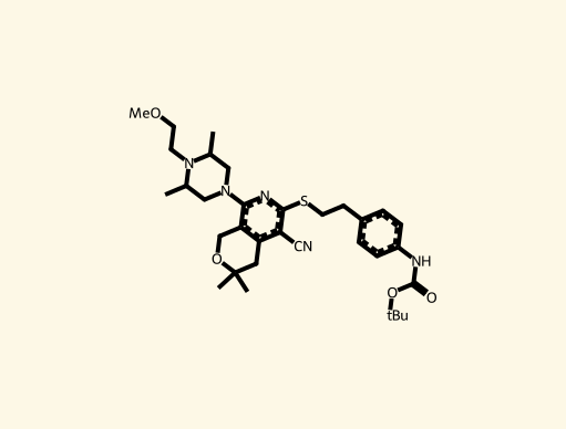 COCCN1C(C)CN(c2nc(SCCc3ccc(NC(=O)OC(C)(C)C)cc3)c(C#N)c3c2COC(C)(C)C3)CC1C